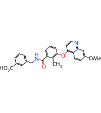 COc1ccc2c(Oc3cccc(C(=O)NCc4cccc(C(=O)O)c4)c3C)ccnc2c1